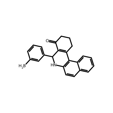 Bc1cccc(C2Nc3ccc4ccccc4c3C3=C2C(=O)CCC3)c1